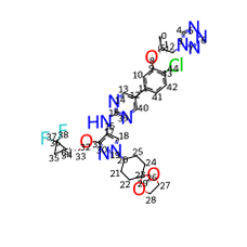 C[C@@H](Cn1cnnn1)Oc1cc(-c2cnc(Nc3cn(C4CCC5(CC4)OCCO5)nc3OC[C@@H]3CC3(F)F)nc2)ccc1Cl